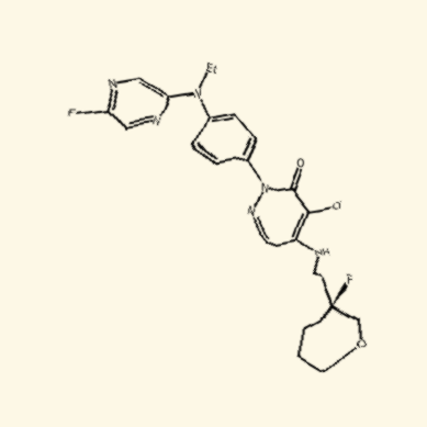 CCN(c1ccc(-n2ncc(NC[C@@]3(F)CCCOC3)c(Cl)c2=O)cc1)c1cnc(F)cn1